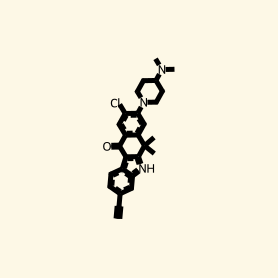 C#Cc1ccc2c3c([nH]c2c1)C(C)(C)c1cc(N2CCC(N(C)C)CC2)c(Cl)cc1C3=O